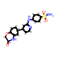 NS(=O)(=O)c1ccc(Nc2cc(-c3ccc4c(c3)NC(=O)CO4)ccn2)cc1